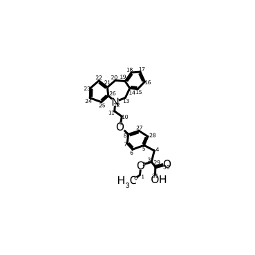 CCOC(Cc1ccc(OCCN2Cc3ccccc3Cc3ccccc32)cc1)C(=O)O